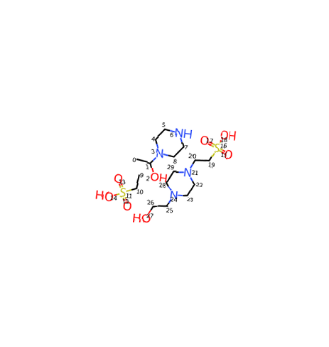 CC(O)N1CCNCC1.CCS(=O)(=O)O.O=S(=O)(O)CCN1CCN(CCO)CC1